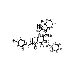 O=C(NCc1ccc(F)cc1F)c1cn2c(c(OCc3ccccc3)c1=O)C(=O)N1C3CCCC[C@@H]3N[C@@H]1C2